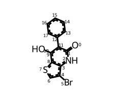 O=c1[nH]c2c(Br)csc2c(O)c1-c1ccccc1